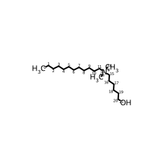 CCCCCCCCCCCC[N+](C)(C)CCCCCCO